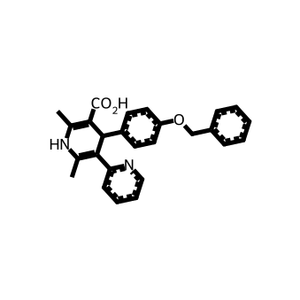 CC1=C(C(=O)O)C(c2ccc(OCc3ccccc3)cc2)C(c2ccccn2)=C(C)N1